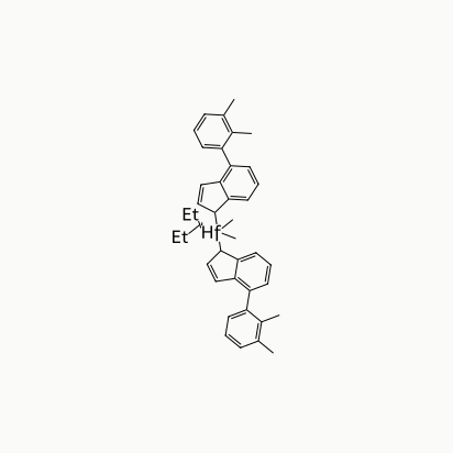 CC[C](CC)=[Hf]([CH3])([CH3])([CH]1C=Cc2c(-c3cccc(C)c3C)cccc21)[CH]1C=Cc2c(-c3cccc(C)c3C)cccc21